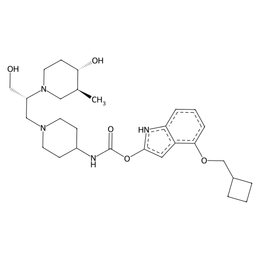 C[C@H]1CN([C@@H](CO)CN2CCC(NC(=O)Oc3cc4c(OCC5CCC5)cccc4[nH]3)CC2)CC[C@@H]1O